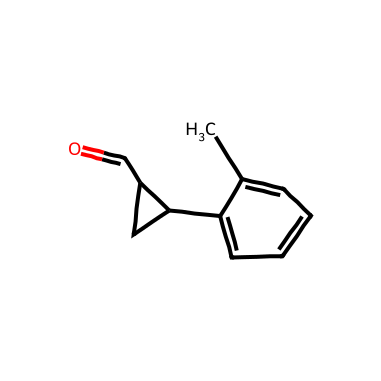 Cc1ccccc1C1CC1C=O